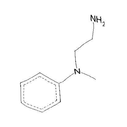 CN(CCN)c1ccccc1